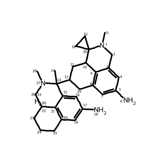 CN1Cc2cc(N)cc3c2C(CC(C2(C)c4cc(N)cc5c4[C@@H](CCC5)CN2C)C3)C12CC2